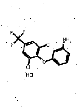 Cl.Nc1cccc(Oc2c(Cl)cc(C(F)(F)F)cc2Cl)c1